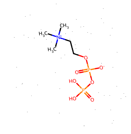 C[N+](C)(C)CCOP(=O)([O-])OP(=O)(O)O